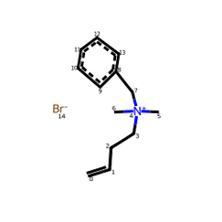 C=CCC[N+](C)(C)Cc1ccccc1.[Br-]